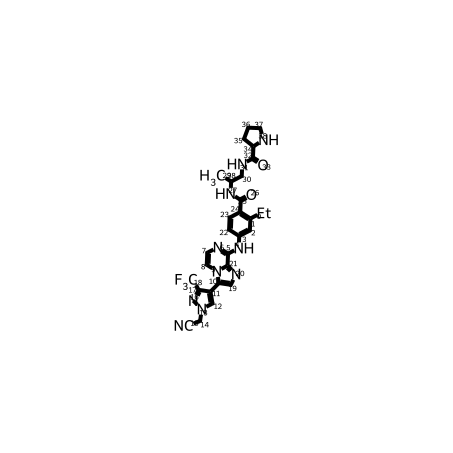 CCc1cc(Nc2nccn3c(-c4cn(CC#N)nc4C(F)(F)F)cnc23)ccc1C(=O)NC(C)CNC(=O)C1CCCN1